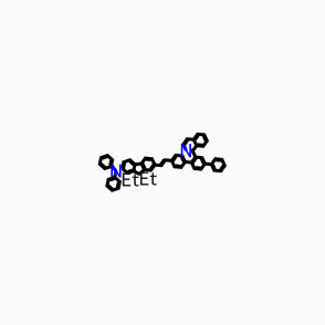 CCC1(CC)c2cc(/C=C/c3ccc(-c4ccc(-c5ccccc5)cc4-c4nccc5ccccc45)cc3)ccc2-c2ccc(N(c3ccccc3)c3ccccc3)cc21